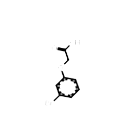 CC(=O)COc1cccc(Br)c1